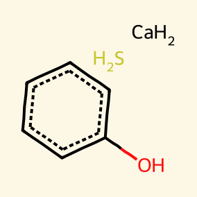 Oc1ccccc1.S.[CaH2]